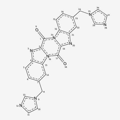 O=c1c2nc3ccc(Cn4ccnc4)cc3n2c(=O)c2nc3cc(Cn4ccnc4)ccc3n12